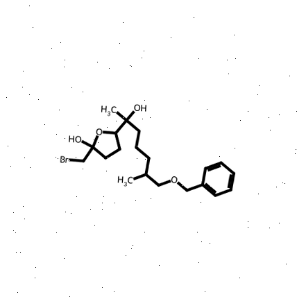 CC(CCCC(C)(O)C1CCC(O)(CBr)O1)COCc1ccccc1